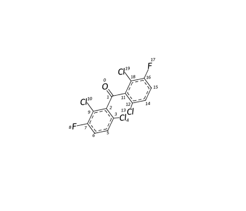 O=C(c1c(Cl)ccc(F)c1Cl)c1c(Cl)ccc(F)c1Cl